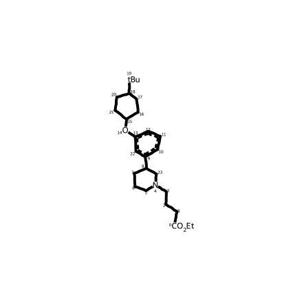 CCOC(=O)CCCN1CCCC(c2cccc(OC3CCC(C(C)(C)C)CC3)c2)C1